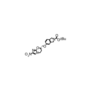 CC(C)(C)OC(=O)N1Cc2ccc(OC[C@@H]3CCn4cc([N+](=O)[O-])nc4O3)cc2C1